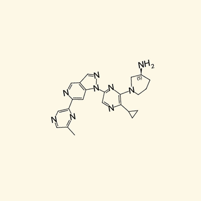 Cc1cncc(-c2cc3c(cn2)cnn3-c2cnc(C3CC3)c(N3CCC[C@H](N)C3)n2)n1